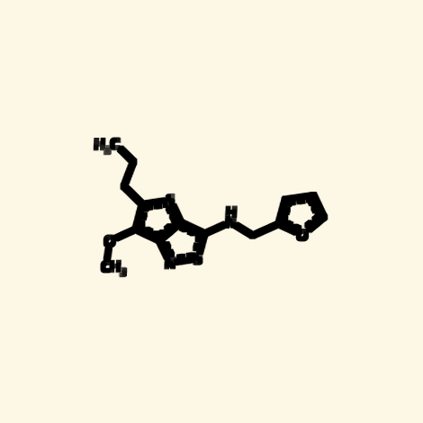 CCCc1sc2c(NCc3ccco3)snc2c1OC